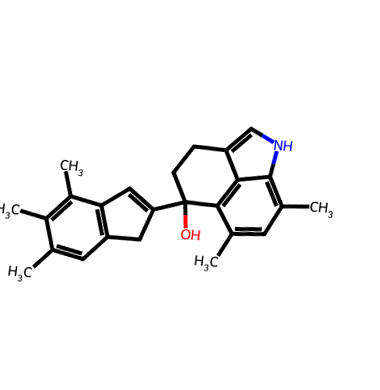 Cc1cc2c(c(C)c1C)C=C(C1(O)CCc3c[nH]c4c(C)cc(C)c1c34)C2